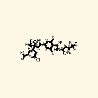 C/C(Cl)=C\C(=C/CC(C)F)C1(C(F)(F)F)CC(c2cc(C)c(C(=O)NC3CC(C(F)(F)F)=NO3)c(C)c2)=NO1